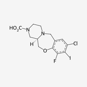 O=C(O)N1CCN2Cc3cc(Cl)c(I)c(F)c3OC[C@H]2C1